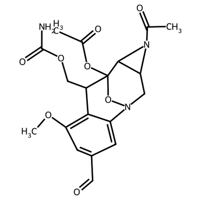 COc1cc(C=O)cc2c1C(COC(N)=O)C1(OC(C)=O)ON2CC2C1N2C(C)=O